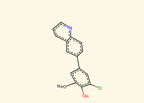 COc1cc(-c2ccc3ncccc3c2)cc(Cl)c1O